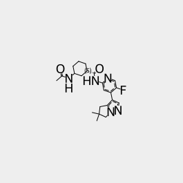 CC(=O)NC1CCC[C@H](C(=O)Nc2cc(-c3cnn4c3CC(C)(C)C4)c(F)cn2)C1